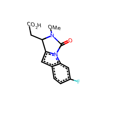 CON1C(=O)n2c(cc3ccc(F)cc32)C1CC(=O)O